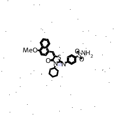 COc1ccc(C=C2S/C(=N\c3ccc(S(N)(=O)=O)cc3)N(C3CCCCC3)C2=O)c2ccccc12